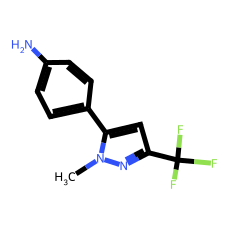 Cn1nc(C(F)(F)F)cc1-c1ccc(N)cc1